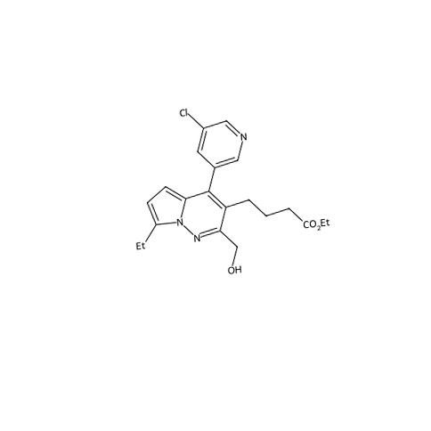 CCOC(=O)CCCc1c(CO)nn2c(CC)ccc2c1-c1cncc(Cl)c1